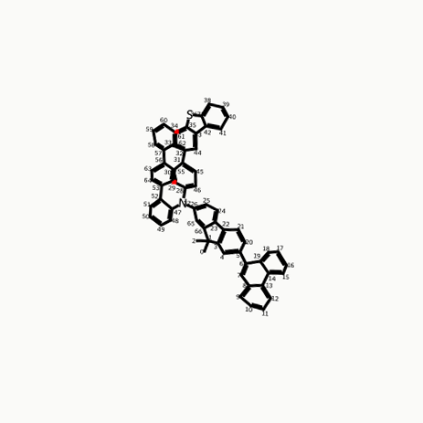 CC1(C)c2cc(-c3cc4ccccc4c4ccccc34)ccc2-c2ccc(N(c3ccc(-c4ccc5sc6ccccc6c5c4)cc3)c3ccccc3-c3ccc(-c4ccccc4)cc3)cc21